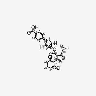 O=C(O)c1ccc(N2C[C@@H]3C[C@H]2C[C@H]3OC(=O)c2c(-c3c(Cl)cccc3Cl)noc2C2CC2)cc1